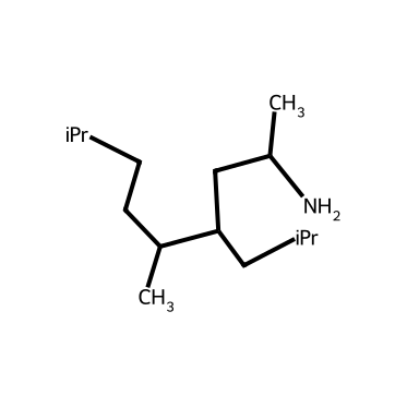 CC(C)CCC(C)C(CC(C)C)CC(C)N